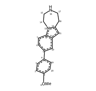 COc1ccc(-c2ccc3c(c2)cc2n3CCNCC2)cc1